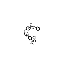 CN(C)C(=O)c1ccc(N2CCC(C)(CC3CCN(C(=O)OCc4ccccc4)CC3)CC2)cc1Cl